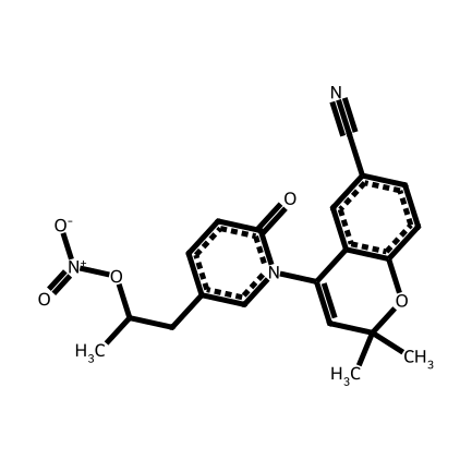 CC(Cc1ccc(=O)n(C2=CC(C)(C)Oc3ccc(C#N)cc32)c1)O[N+](=O)[O-]